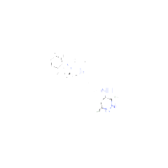 COc1ccccc1N1CCN(CCCCNc2cc(Cl)nnc2Cl)CC1